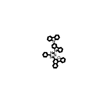 c1ccc(-c2nc(-c3cc4ccccc4c4c3oc3ccccc34)nc(-n3c4ccccc4c4cc(-n5c6ccccc6c6ccccc65)ccc43)n2)cc1